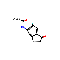 COC(=O)Nc1cc2c(cc1F)C(=O)CC2